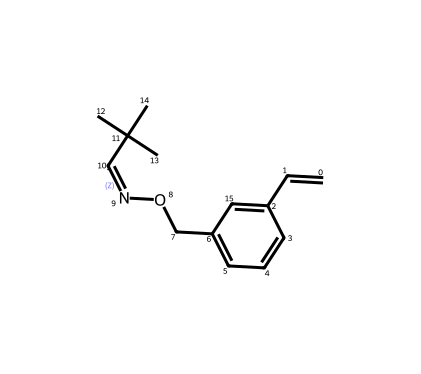 C=Cc1cccc(CO/N=[C]\C(C)(C)C)c1